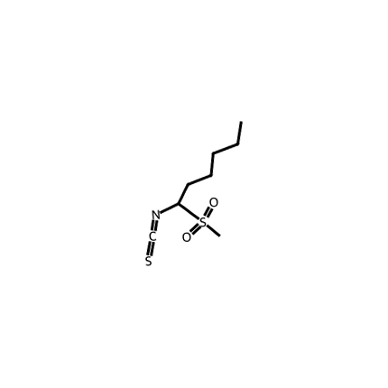 CCCCCC(N=C=S)S(C)(=O)=O